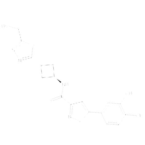 C[C@@H](O)c1nnc([C@H]2C[C@H](NC(=O)c3cc(-c4ccc(O)c(O)c4)on3)C2)o1